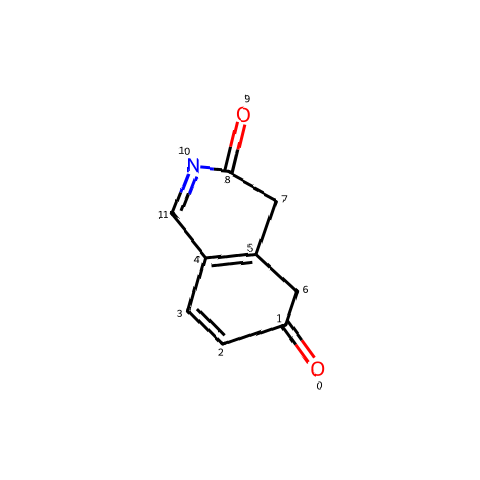 O=C1C=CC2=C(C1)CC(=O)N=C2